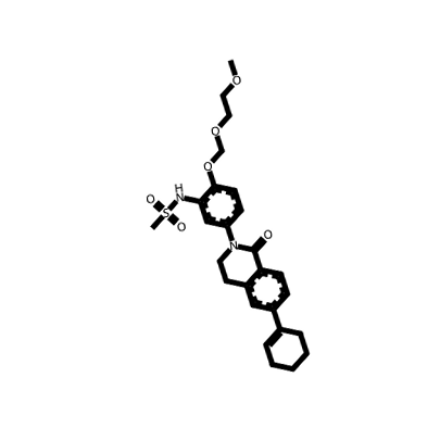 COCCOCOc1ccc(N2CCc3cc(C4=CCCCC4)ccc3C2=O)cc1NS(C)(=O)=O